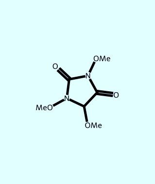 COC1C(=O)N(OC)C(=O)N1OC